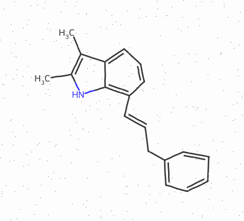 Cc1[nH]c2c(/C=C/Cc3ccccc3)cccc2c1C